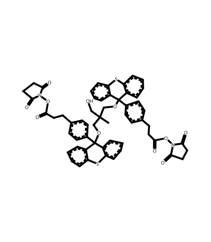 CC(CO)(COC1(c2ccc(CCC(=O)ON3C(=O)CCC3=O)cc2)c2ccccc2Sc2ccccc21)COC1(c2ccc(CCC(=O)ON3C(=O)CCC3=O)cc2)c2ccccc2Sc2ccccc21